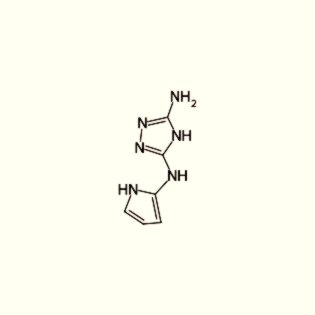 Nc1nnc(Nc2ccc[nH]2)[nH]1